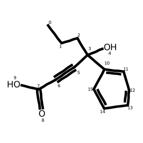 CCCC(O)(C#CC(=O)O)c1ccccc1